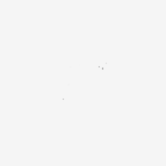 C=C(C)C(=O)OCC(C)(O)C(F)(F)C(F)(F)C(F)(C(F)(F)F)C(F)(F)F